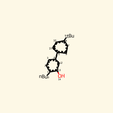 CCCCc1ccc(-c2ccc(C(C)(C)C)cc2)cc1O